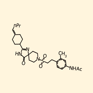 CCCC=C1CCC(C2=NC3(CCN(S(=O)(=O)CCc4ccc(NC(C)=O)cc4C)CC3)C(=O)N2)CC1